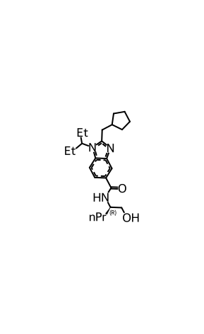 CCC[C@H](CO)NC(=O)c1ccc2c(c1)nc(CC1CCCC1)n2C(CC)CC